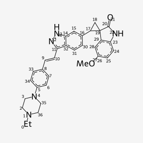 CCN1CCN(c2ccc(/C=C/c3n[nH]c4cc(C5CC56C(=O)Nc5ccc(OC)cc56)ccc34)cc2)CC1